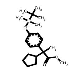 COC(=O)C(C)(c1ccc(O[Si](C)(C)C(C)(C)C)cc1)C1CCCC1